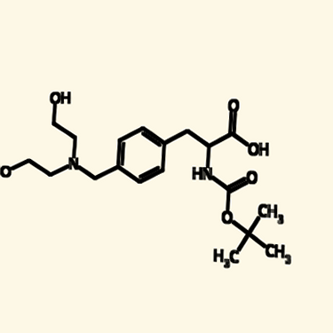 CC(C)(C)OC(=O)NC(Cc1ccc(CN(CCO)CCO)cc1)C(=O)O